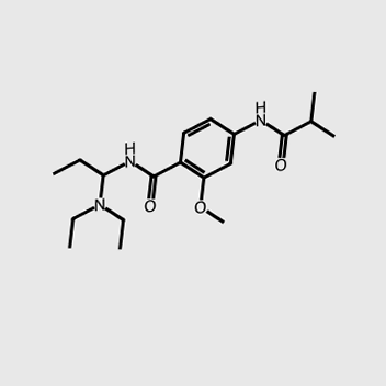 CCC(NC(=O)c1ccc(NC(=O)C(C)C)cc1OC)N(CC)CC